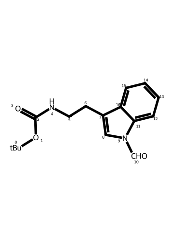 CC(C)(C)OC(=O)N[CH]Cc1cn(C=O)c2ccccc12